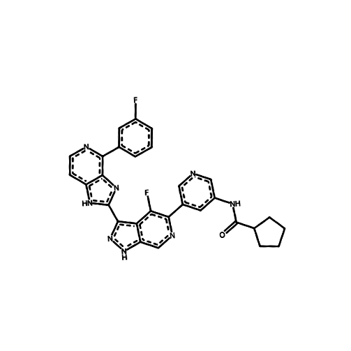 O=C(Nc1cncc(-c2ncc3[nH]nc(-c4nc5c(-c6cccc(F)c6)nccc5[nH]4)c3c2F)c1)C1CCCC1